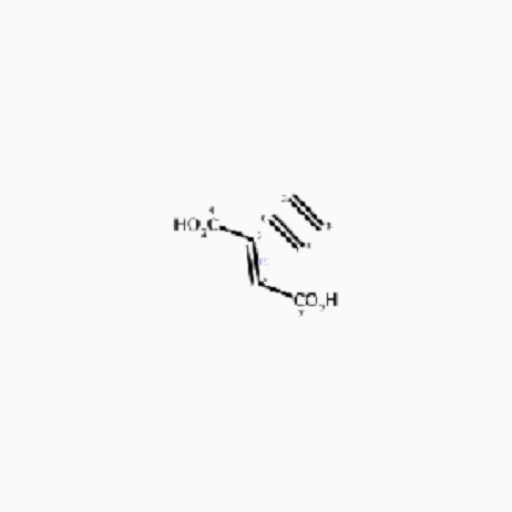 C=C.C=C.O=C(O)/C=C/C(=O)O